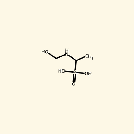 CC(NCO)P(=O)(O)O